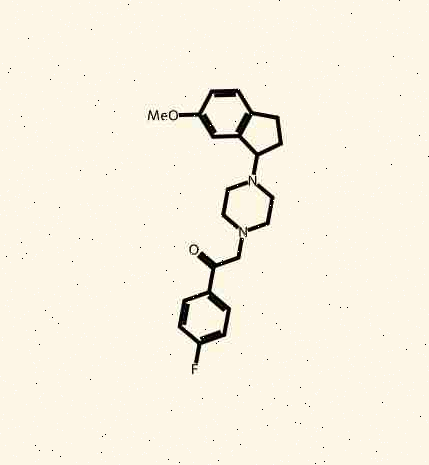 COc1ccc2c(c1)C(N1CCN(CC(=O)c3ccc(F)cc3)CC1)CC2